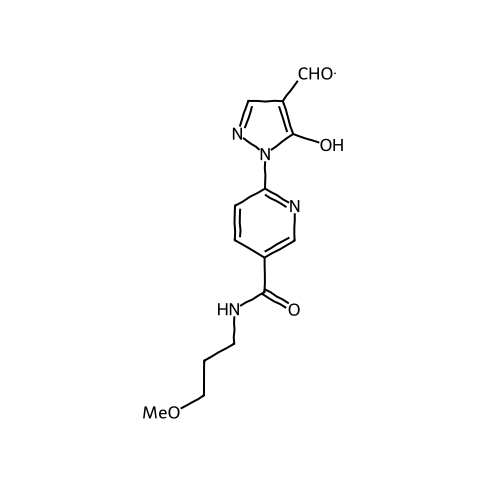 COCCCNC(=O)c1ccc(-n2ncc([C]=O)c2O)nc1